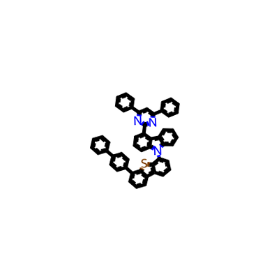 c1ccc(-c2ccc(-c3cccc4c3sc3c(-n5c6ccccc6c6c(-c7nc(-c8ccccc8)cc(-c8ccccc8)n7)cccc65)cccc34)cc2)cc1